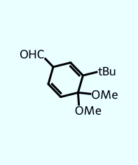 COC1(OC)C=CC(C=O)C=C1C(C)(C)C